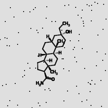 CC[C@@]1(O)CC[C@@]2(C)[C@H](CC[C@@H]3[C@@H]2CC[C@]2(C)[C@@H](C(N)=O)CC[C@@H]32)C1